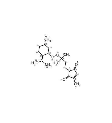 CC1=CC(=O)N(CCC(C)(C)OOC2CC(C)CCC2C(C)C)C1=O